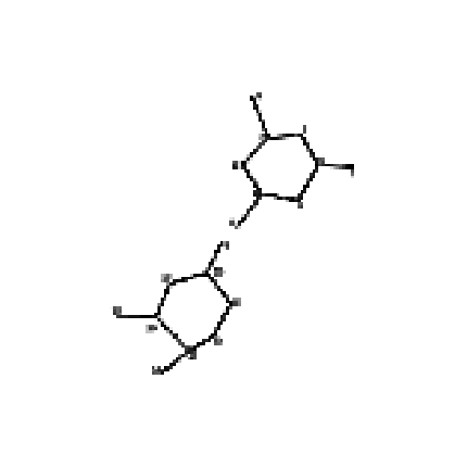 CC1CC(C)CC(C)C1.CC1CCC(C)C(C)C1